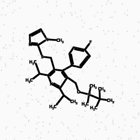 CC(C)c1nc(C(C)C)c(CSc2nccn2C)c(-c2ccc(F)cc2)c1CO[Si](C)(C)C(C)(C)C